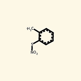 [CH2]c1ccccc1S[N+](=O)[O-]